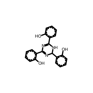 Oc1ccccc1C1=NC(c2ccccc2O)NC(c2ccccc2O)=N1